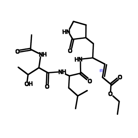 CCOC(=O)/C=C/C(CC1CCNC1=O)NC(=O)C(CC(C)C)NC(=O)C(NC(C)=O)C(C)O